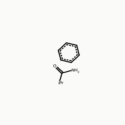 CC(C)C(N)=O.c1ccccc1